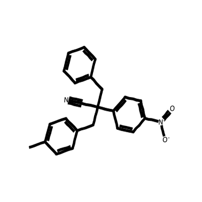 Cc1ccc(CC(C#N)(Cc2ccccc2)c2ccc([N+](=O)[O-])cc2)cc1